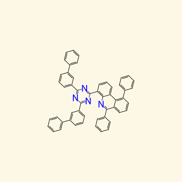 c1ccc(-c2cccc(-c3nc(-c4cccc(-c5ccccc5)c4)nc(-c4cccc5c4nc(-c4ccccc4)c4cccc(-c6ccccc6)c45)n3)c2)cc1